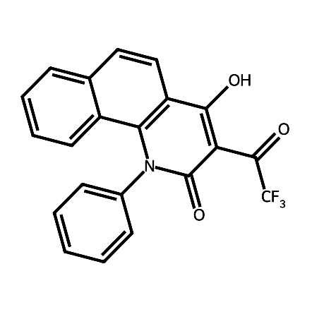 O=C(c1c(O)c2ccc3ccccc3c2n(-c2ccccc2)c1=O)C(F)(F)F